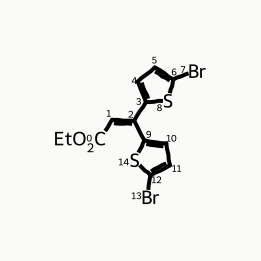 CCOC(=O)C=C(c1ccc(Br)s1)c1ccc(Br)s1